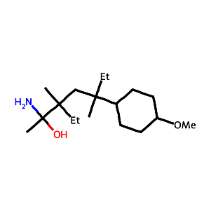 CCC(C)(CC(C)(CC)C(C)(N)O)C1CCC(OC)CC1